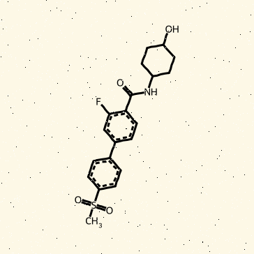 CS(=O)(=O)c1ccc(-c2ccc(C(=O)NC3CCC(O)CC3)c(F)c2)cc1